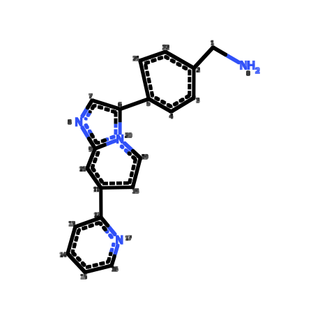 NCc1ccc(-c2cnc3cc(-c4ccccn4)ccn23)cc1